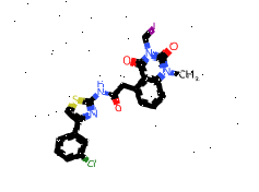 Cn1c(=O)n(CI)c(=O)c2c(CC(=O)Nc3nc(-c4cccc(Cl)c4)cs3)cccc21